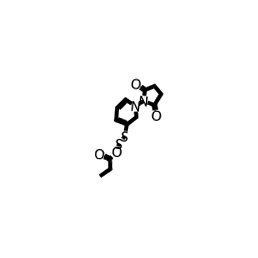 CCC(=O)OSSC1=CC=CN(N2C(=O)CCC2=O)C1